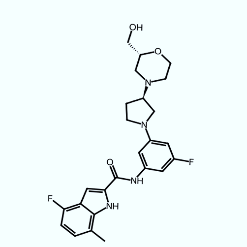 Cc1ccc(F)c2cc(C(=O)Nc3cc(F)cc(N4CC[C@@H](N5CCO[C@@H](CO)C5)C4)c3)[nH]c12